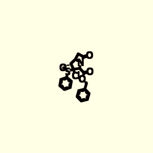 O=C(OCc1ccccc1)C1N2C(=O)CC2CC1(Cl)[S+]([O-])c1ccccc1